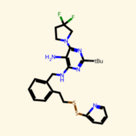 CC(C)(C)c1nc(NCc2ccccc2CCSSc2ccccn2)c(N)c(N2CCC(F)(F)C2)n1